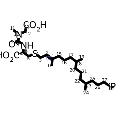 C/C(=C\CSC[C@H](NC(=O)N(C)CC(=O)O)C(=O)O)CCCC(C)CCCC(C)CCCC(C)C